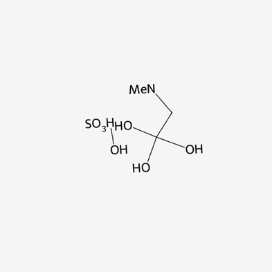 CNCC(O)(O)O.O=S(=O)(O)O